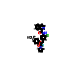 O=C(Nc1ccc(CC(=O)C(F)(O[C@H]2CC[C@H](C(=O)O)CC2)N2CCCC2)cc1Cl)c1nccc2ccccc12